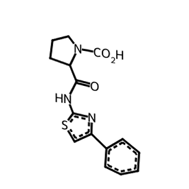 O=C(Nc1nc(-c2ccccc2)cs1)C1CCCN1C(=O)O